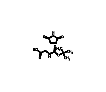 CC(C)(C)OC(=O)NCC(=O)O.O=C1C=CC(=O)N1